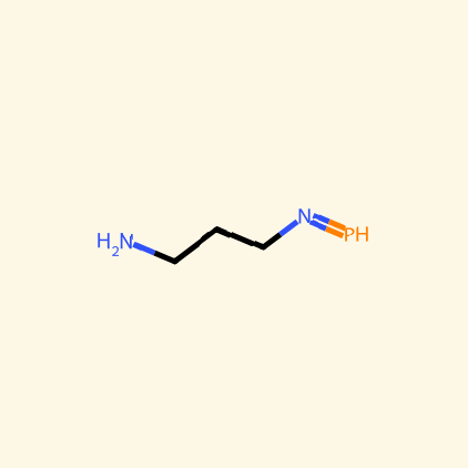 NCCCN=P